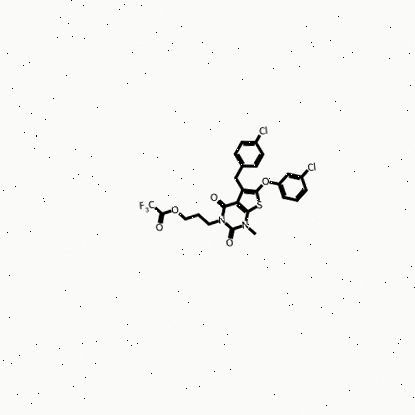 Cn1c(=O)n(CCCOC(=O)C(F)(F)F)c(=O)c2c(Cc3ccc(Cl)cc3)c(Oc3cccc(Cl)c3)sc21